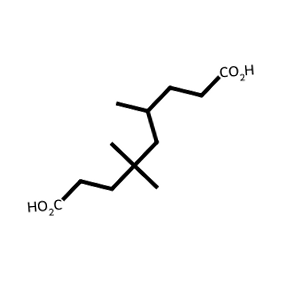 CC(CCC(=O)O)CC(C)(C)CCC(=O)O